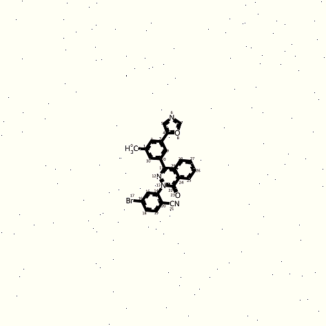 Cc1cc(-c2cnco2)cc(-c2nn(-c3cc(Br)ccc3C#N)c(=O)c3ccccc23)c1